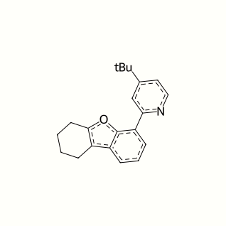 CC(C)(C)c1ccnc(-c2cccc3c4c(oc23)CCCC4)c1